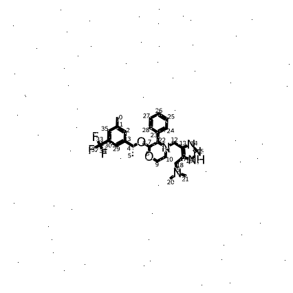 Cc1cc([C@@H](C)OC2OCCN(Cc3nn[nH]c3CN(C)C)C2c2ccccc2)cc(C(F)(F)F)c1